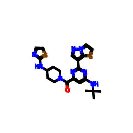 CC(C)(C)Nc1cc(C(=O)N2CCC(Nc3nccs3)CC2)nc(-c2cnn3ccsc23)n1